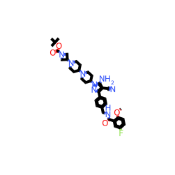 COc1ccc(F)cc1C(=O)NCc1ccc(-c2nn(C3CCN(C4CCN(C5CN(C(=O)OC(C)(C)C)C5)CC4)CC3)c(N)c2C#N)cc1